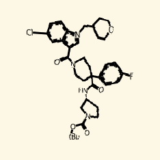 CC(C)(C)OC(=O)N1CC[C@@H](NC(=O)C2(c3ccc(F)cc3)CCN(C(=O)c3cn(CC4CCOCC4)c4ccc(Cl)cc34)CC2)C1